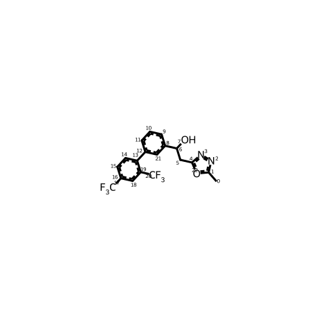 Cc1nnc(CC(O)c2cccc(-c3ccc(C(F)(F)F)cc3C(F)(F)F)c2)o1